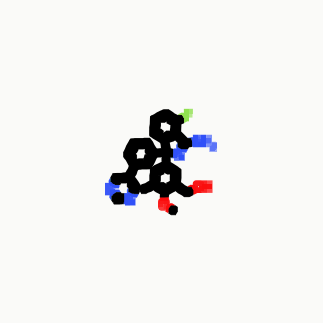 COc1c(C)cc(C2(c3cccc(-c4cncnc4)c3)N=C(N)c3c(F)cccc32)cc1CO